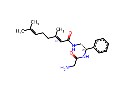 CC(C)=CCC/C(C)=C/C(=O)NC[C@@H](NC(=O)CN)c1ccccc1